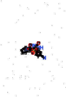 N#Cc1ccc(S(=O)(=O)CCCN2C3CCC2CN(C(=O)CC2NC(=O)NC2=O)C3)cc1